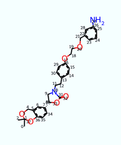 CC1(C)OCc2cc([C@@H]3CN(CCc4ccc(OCCOCc5cccc(N)c5)cc4)C(=O)O3)ccc2O1